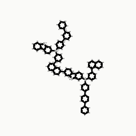 c1ccc(-c2ccc(-c3ccc(N(c4cccc(-c5cccc6ccccc56)c4)c4ccc5c(c4)sc4cc(-c6ccc7cccc(-c8cccc(N(c9ccc(-c%10cccc(-c%11ccccc%11)c%10)cc9)c9ccc%10c(c9)sc9ccccc9%10)c8)c7c6)ccc45)cc3)cc2)cc1